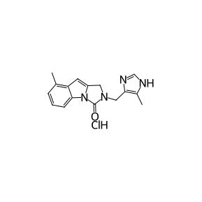 Cc1[nH]cnc1CN1Cc2cc3c(C)cccc3n2C1=O.Cl